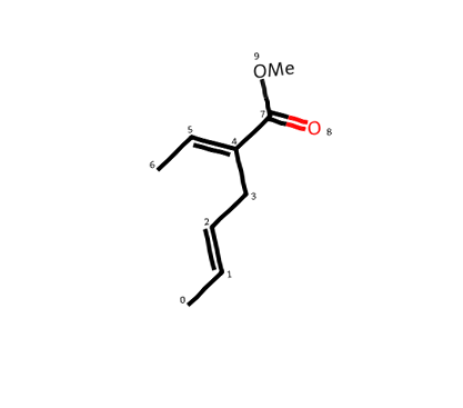 CC=CCC(=CC)C(=O)OC